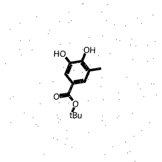 Cc1cc(C(=O)OC(C)(C)C)cc(O)c1O